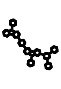 c1ccc(-c2cc(-c3ccccc3)cc(-c3ccc4c5cc(-c6ccc(-c7ccc8c(c7)c7ccccc7n8-c7ccccc7)cc6)ccc5n(-c5ccccc5)c4c3)c2)cc1